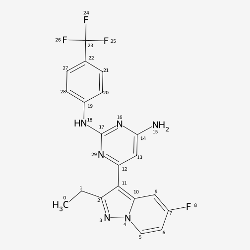 CCc1nn2ccc(F)cc2c1-c1cc(N)nc(Nc2ccc(C(F)(F)F)cc2)n1